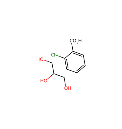 O=C(O)c1ccccc1Cl.OCC(O)CO